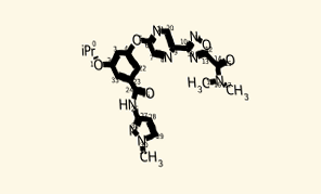 CC(C)Oc1cc(Oc2cnc(-c3noc(C(=O)N(C)C)n3)cn2)cc(C(=O)Nc2ccn(C)n2)c1